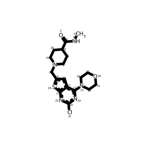 CNC(=O)C1CCN(Cc2cc3c(N4CCOCC4)nc(Cl)nc3s2)CC1